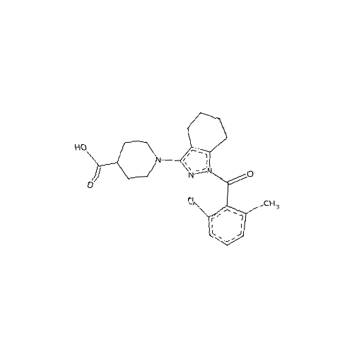 Cc1cccc(Cl)c1C(=O)n1nc(N2CCC(C(=O)O)CC2)c2c1CCCC2